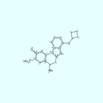 CC(C)(C)C1Cn2nc3c(OC4CCC4)cccc3c2-c2cc(=O)c(C(=O)O)cn21